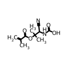 C=C(C)C(=O)OC(C)(C)C(C#N)NC(=O)O